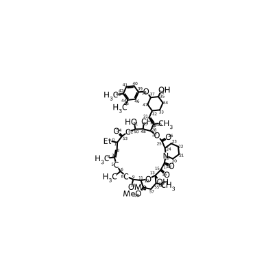 CCC1/C=C(\C)CC(C)CC(OC)C2OC(O)(C(=O)C(=O)N3CCCCC3C(=O)OC(C(C)=CC3CCC(O)C(Oc4ccc(C)c(C)c4)C3)C(C)C(O)CC1=O)C(C)CC2OC